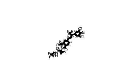 O=C(NC1(C(=O)NCC(F)(F)F)CC1)c1ccc(/C=C/C(c2cc(Cl)c(Cl)c(Cl)c2)C(F)(F)F)cc1C(F)(F)F